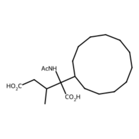 CC(=O)NC(C(=O)O)(C(C)CC(=O)O)C1CCCCCCCCCCC1